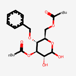 CCCCC(=O)OC[C@H]1OC(O)[C@H](O)[C@@H](OC(=O)CCCC)[C@@H]1OCc1ccccc1